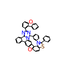 c1ccc(-c2nc(-c3ccccc3-c3ccc4c(c3)oc3ccc5sc(-c6ccccc6)nc5c34)nc(-c3cccc4oc5ccccc5c34)n2)cc1